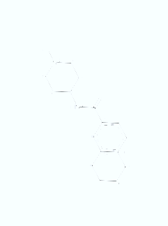 C=C(NC1CCN(C)CC1)c1ccc2c(c1)CCCC2